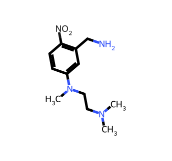 CN(C)CCN(C)c1ccc([N+](=O)[O-])c(CN)c1